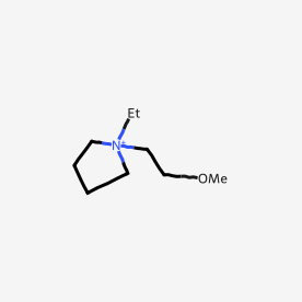 CC[N+]1(CCOC)CCCC1